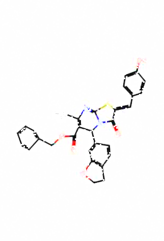 CC1=C(C(=O)OCc2ccccc2)C(c2ccc3c(c2)OCC3)n2c(s/c(=C\c3ccc(O)cc3)c2=O)=N1